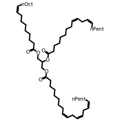 CCCCC/C=C\C/C=C\C/C=C\CCCCCCCC(=O)OCC(COC(=O)CCCCCCC/C=C\CCCCCCCC)OC(=O)CCCCCCC/C=C\C/C=C\CCCCC